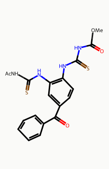 COC(=O)NC(=S)Nc1ccc(C(=O)c2ccccc2)cc1NC(=S)NC(C)=O